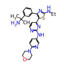 CCNc1nc(-c2cccc(C(C)(C)N)c2)c(-c2ccnc(Nc3ccc(N4CCOCC4)nc3)n2)s1